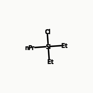 CCC[Si](Cl)(CC)CC